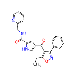 CCc1onc(-c2ccccc2)c1C(=O)c1c[nH]c(C(=O)NCc2ccccn2)c1